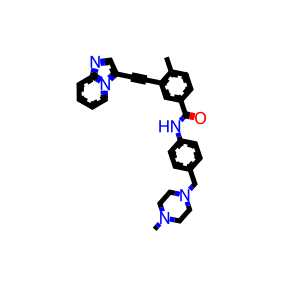 Cc1ccc(C(=O)Nc2ccc(CN3CCN(C)CC3)cc2)cc1C#Cc1cnc2ccccn12